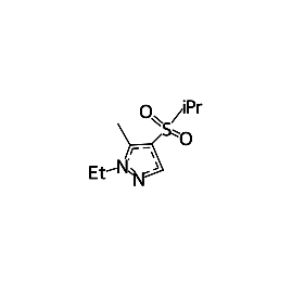 CCn1ncc(S(=O)(=O)C(C)C)c1C